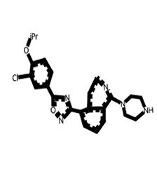 CC(C)Oc1ccc(-c2nc(-c3cccc4c(N5CCNCC5)nccc34)no2)cc1Cl